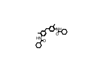 Cc1cc(Cc2ccc(NC(=O)C3CCCCC3)c(C)c2)ccc1NC(=O)C1CCCCC1